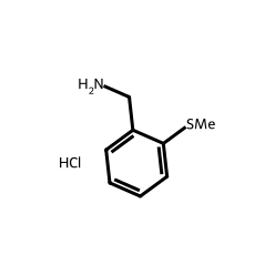 CSc1ccccc1CN.Cl